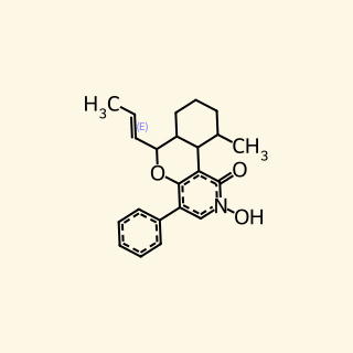 C/C=C/C1Oc2c(-c3ccccc3)cn(O)c(=O)c2C2C(C)CCCC12